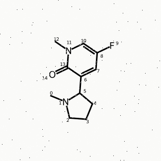 CN1CCCC1c1cc(F)cn(C)c1=O